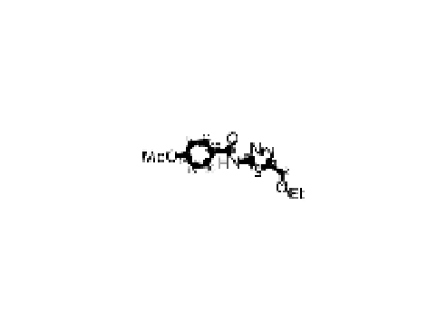 CCOCc1nnc(NC(=O)c2ccc(OC)cc2)s1